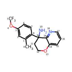 Cc1cc(OC(F)(F)F)ccc1C1(N)CCOc2cccnc21